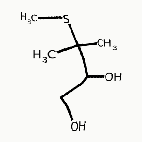 CSC(C)(C)C(O)CO